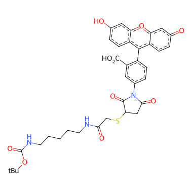 CC(C)(C)OC(=O)NCCCCCNC(=O)CSC1CC(=O)N(c2ccc(-c3c4ccc(=O)cc-4oc4cc(O)ccc34)c(C(=O)O)c2)C1=O